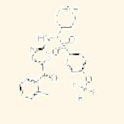 Cc1ccccc1C(=O)c1cnc(NC(C2CCNCC2)S(=O)(=O)c2ccc(OC(F)(F)F)cc2)s1